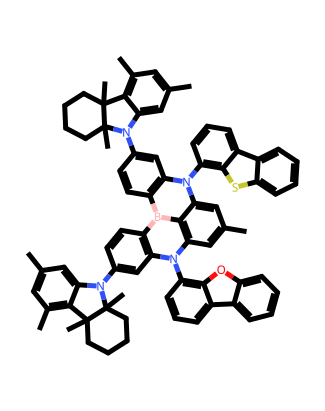 Cc1cc2c3c(c1)N(c1cccc4c1sc1ccccc14)c1cc(N4c5cc(C)cc(C)c5C5(C)CCCCC45C)ccc1B3c1ccc(N3c4cc(C)cc(C)c4C4(C)CCCCC34C)cc1N2c1cccc2c1oc1ccccc12